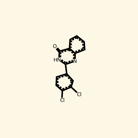 O=c1[nH]c(-c2ccc(Cl)c(Cl)c2)nc2ccccc12